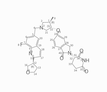 C[C@@H]1CN(Cc2cc(F)c3nc([C@H]4CCOC4)ccc3c2)C[C@H]1Oc1ccc2c(c1)CN([C@H]1CCC(=O)NC1=O)C2=O